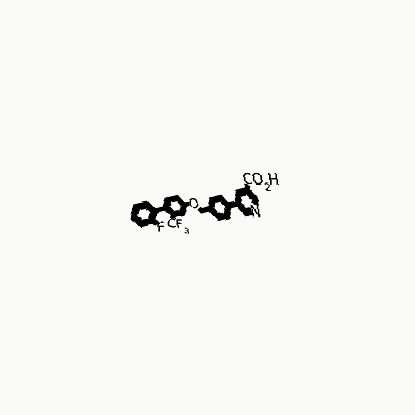 O=C(O)c1cncc(-c2ccc(COc3ccc(-c4ccccc4F)c(C(F)(F)F)c3)cc2)c1